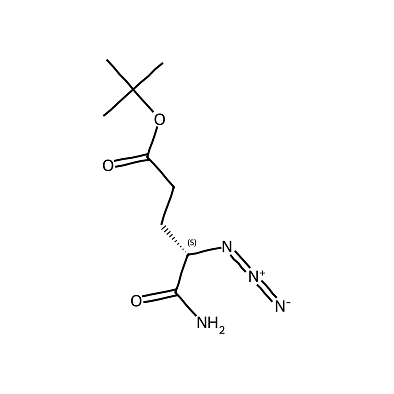 CC(C)(C)OC(=O)CC[C@H](N=[N+]=[N-])C(N)=O